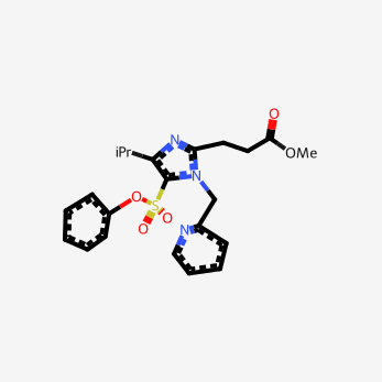 COC(=O)CCc1nc(C(C)C)c(S(=O)(=O)Oc2ccccc2)n1Cc1ccccn1